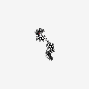 O=S(=O)(O/N=C(/c1c(F)c(F)c(OCCCOc2c(F)c(F)c(C(NOS(=O)(=O)C(F)(F)C(F)(F)C(F)(F)C(F)(F)F)C(F)(F)F)c(F)c2F)c(F)c1F)C(F)(F)F)C(F)(F)C(F)(F)C(F)(F)C(F)(F)F